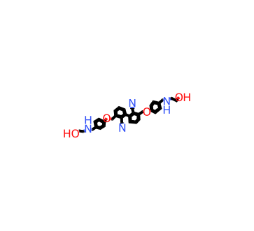 N#Cc1c(COc2ccc(CNCCO)cc2)cccc1-c1cccc(COc2ccc(CNCCO)cc2)c1C#N